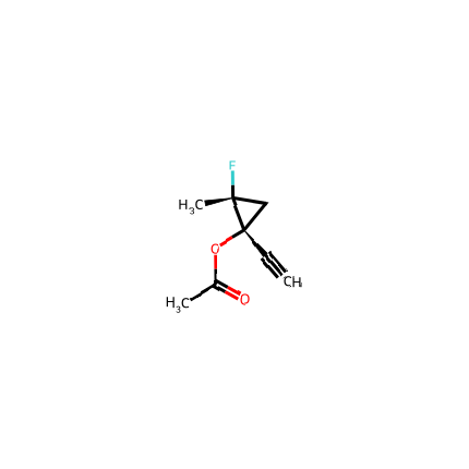 C#C[C@]1(OC(C)=O)C[C@@]1(C)F